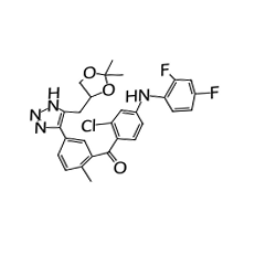 Cc1ccc(-c2nn[nH]c2CC2COC(C)(C)O2)cc1C(=O)c1ccc(Nc2ccc(F)cc2F)cc1Cl